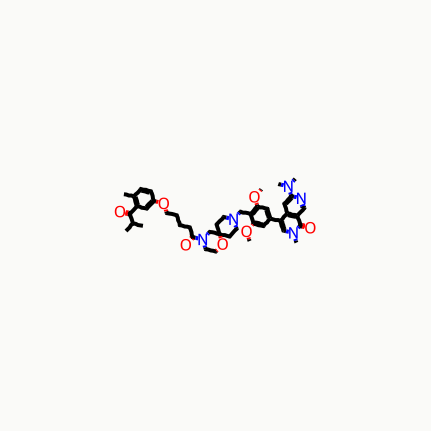 COc1cc(-c2cn(C)c(=O)c3cnc(N(C)C)cc23)cc(OC)c1CN1CCC2(CC1)CN(C(=O)CCCCOc1ccc(C)c(C(=O)C(C)C)c1)CCO2